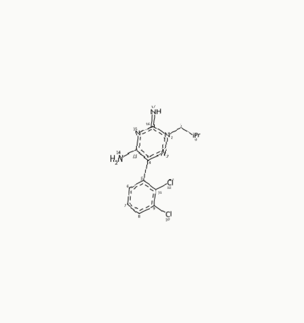 CC(C)Cn1nc(-c2cccc(Cl)c2Cl)c(N)nc1=N